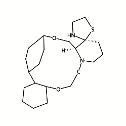 C1CCC2C3CCC(CC3)OC[C@@H]3N(CCC[C@@]34NCCS4)CCOC2C1